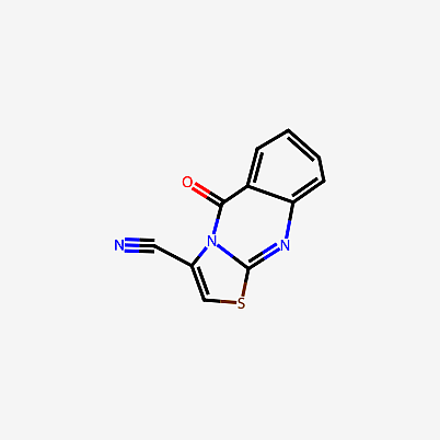 N#Cc1csc2nc3ccccc3c(=O)n12